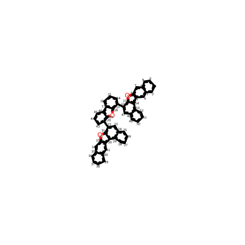 c1ccc2cc3c(cc2c1)oc1c(-c2cccc4c2oc2c(-c5cc6ccccc6c6c5oc5cc7ccccc7cc56)cccc24)cc2ccccc2c13